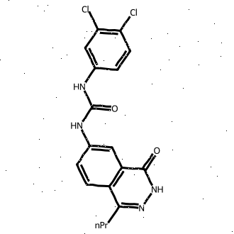 CCCc1n[nH]c(=O)c2cc(NC(=O)Nc3ccc(Cl)c(Cl)c3)ccc12